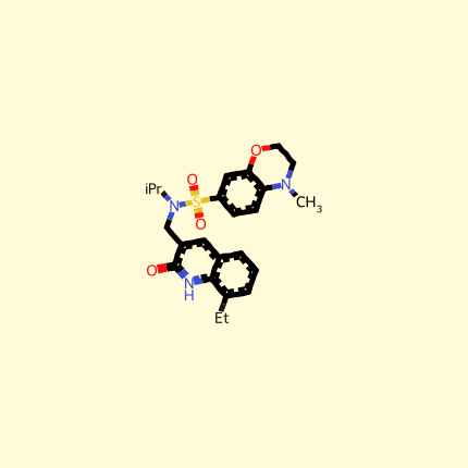 CCc1cccc2cc(CN(C(C)C)S(=O)(=O)c3ccc4c(c3)OCCN4C)c(=O)[nH]c12